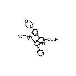 N#CCN1CC(c2nn(-c3ccccc3)c3nc(C(=O)O)cc(-c4ccc(N5CCOCC5)cc4)c23)C1